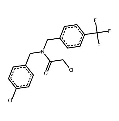 O=C(CCl)N(Cc1ccc(Cl)cc1)Cc1ccc(C(F)(F)F)cc1